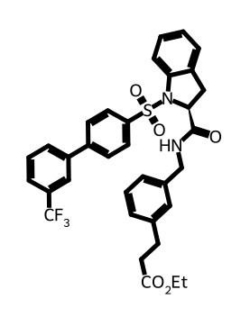 CCOC(=O)CCc1cccc(CNC(=O)[C@@H]2Cc3ccccc3N2S(=O)(=O)c2ccc(-c3cccc(C(F)(F)F)c3)cc2)c1